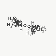 C=C(CNC(=O)OC)N(Cc1nc(Cl)c(-c2ccc(-c3ccc(-c4[nH]c(CN(C(=O)CNC(=O)OC)C5CC5C)nc4Cl)cc3)cc2)[nH]1)C1CC1C